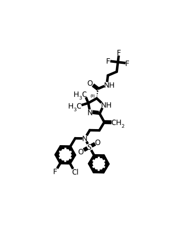 C=C(CCN(Cc1ccc(F)c(Cl)c1)S(=O)(=O)c1ccccc1)C1=NC(C)(C)[C@H](C(=O)NCCC(F)(F)F)N1